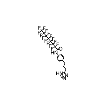 O=C(Nc1ccc(CCCc2nnn[nH]2)cc1)C(F)(F)C(F)(F)C(F)(F)C(F)(F)C(F)(F)C(F)(F)C(F)(F)F